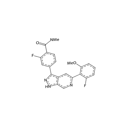 CNC(=O)c1ccc(-c2n[nH]c3cnc(-c4c(F)cccc4OC)cc23)cc1F